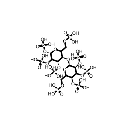 O=P(O)(O)OCC1O[C@@H](O[C@@H]2C(COP(=O)(O)O)O[C@@H](OP(=O)(O)O)C(OP(=O)(O)O)[C@H]2O[PH](O)(O)O)[C@@H](OP(=O)(O)O)C(OP(=O)(O)O)[C@H]1OP(=O)(O)O